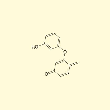 C=C1C=CC(=O)C=C1Oc1cccc(O)c1